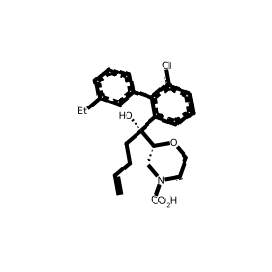 C=CCC[C@@](O)(c1cccc(Cl)c1-c1cccc(CC)c1)[C@H]1CN(C(=O)O)CCO1